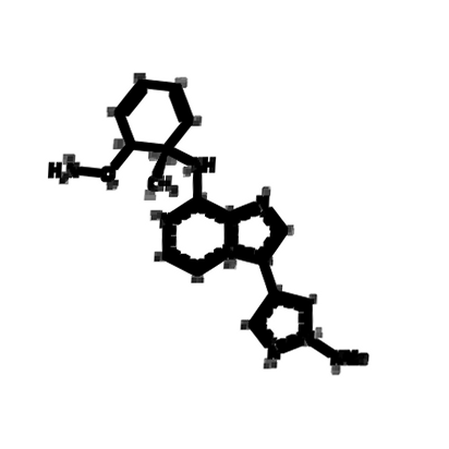 CNn1cc(-c2cnc3c(N[C@@]4(C)C=CC=CC4ON)nccn23)cn1